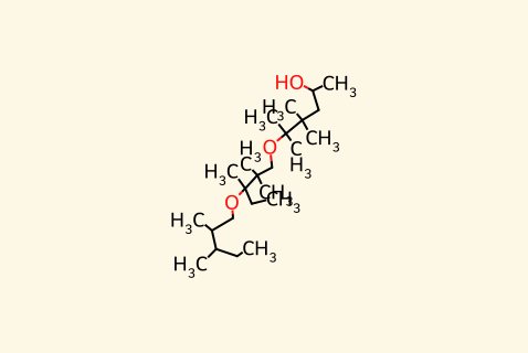 CCC(C)C(C)COC(C)(CC)C(C)(C)COC(C)(C)C(C)(C)CC(C)O